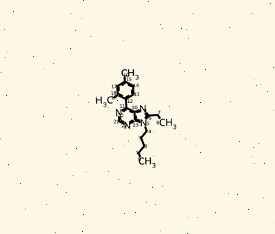 CCCCCn1c(CC)nc2c(-c3ccc(C)cc3C)ncnc21